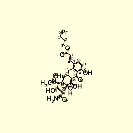 CC(C)CCCOC(=O)/C=C/c1ccc(O)c2c1CC1CC3C(N(C)C)C(O)=C(C(N)=O)CC3(O)C(O)=C1C2=O